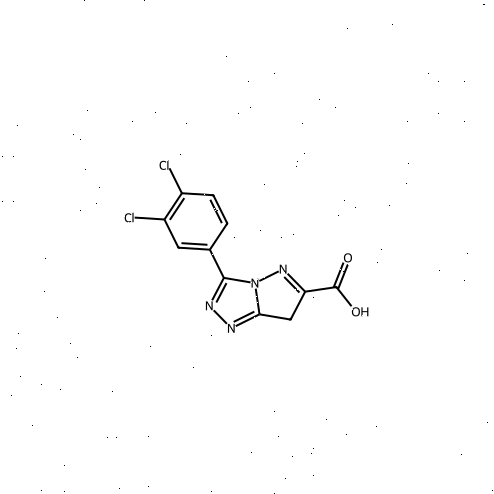 O=C(O)C1=Nn2c(nnc2-c2ccc(Cl)c(Cl)c2)C1